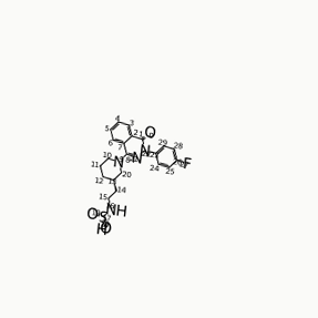 O=c1c2ccccc2c(N2CCC[C@H](CCN[SH](=O)=O)C2)nn1-c1ccc(F)cc1